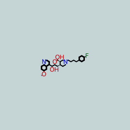 COc1ccc2nccc([C@@H](O)CC[C@@H]3CCN(CCCCc4ccc(F)cc4)C[C@@H]3C(=O)O)c2c1